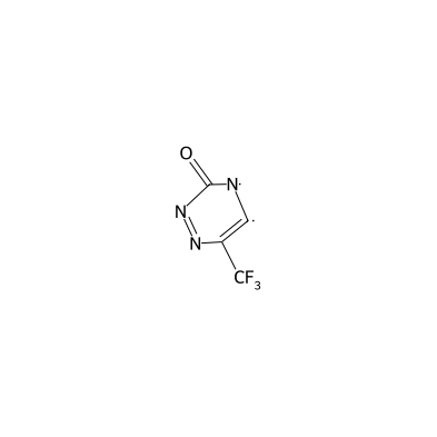 O=C1[N][C]=C(C(F)(F)F)N=N1